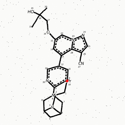 CC(C)CSN1C2CC1CN(c1ccc(-c3cc(OCC(C)(C)O)cn4ncc(C#N)c34)cn1)C2